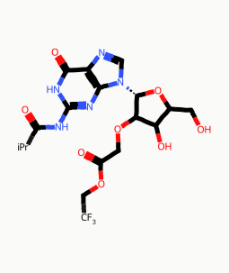 CC(C)C(=O)Nc1nc2c(ncn2[C@@H]2OC(CO)C(O)C2OCC(=O)OCC(F)(F)F)c(=O)[nH]1